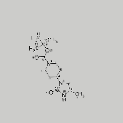 CC1CN(C2CCN(C(=O)OC(C)(C)C)CC2)C(=O)N1